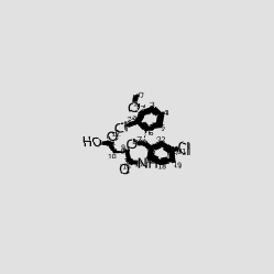 COc1cccc([C@H]2O[C@H](CC(=O)O)C(=O)Nc3ccc(Cl)cc32)c1Cl